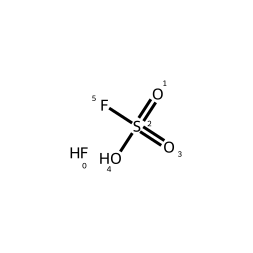 F.O=S(=O)(O)F